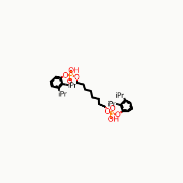 CC(C)c1cccc(OP(=O)(O)OCCCCCCCCOP(=O)(O)Oc2cccc(C(C)C)c2C(C)C)c1C(C)C